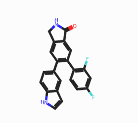 O=C1NCc2cc(-c3ccc4[nH]ccc4c3)c(-c3ccc(F)cc3F)cc21